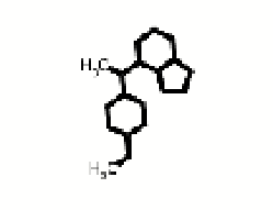 CCC1CCC(C(C)C2CCCC3CCCC32)CC1